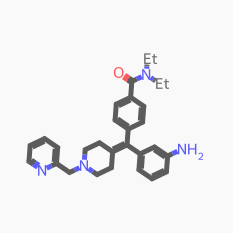 CCN(CC)C(=O)c1ccc(C(=C2CCN(Cc3ccccn3)CC2)c2cccc(N)c2)cc1